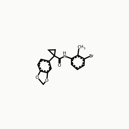 Cc1c(Br)cccc1NC(=O)C1(c2ccc3c(c2)OCO3)CC1